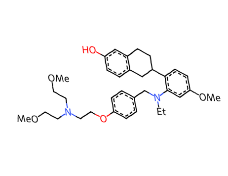 CCN(Cc1ccc(OCCN(CCOC)CCOC)cc1)c1cc(OC)ccc1C1CCc2cc(O)ccc2C1